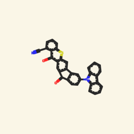 N#Cc1cccc2sc3cc4c(cc3c(=O)c12)C(=O)c1ccc(-n2c3ccccc3c3ccccc32)cc1-4